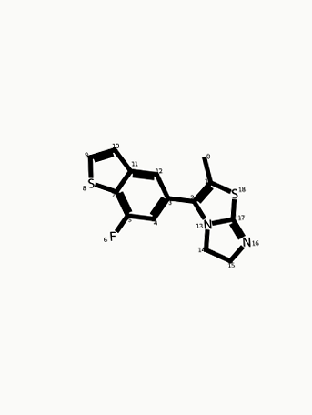 CC1=C(c2cc(F)c3sccc3c2)N2CCN=C2S1